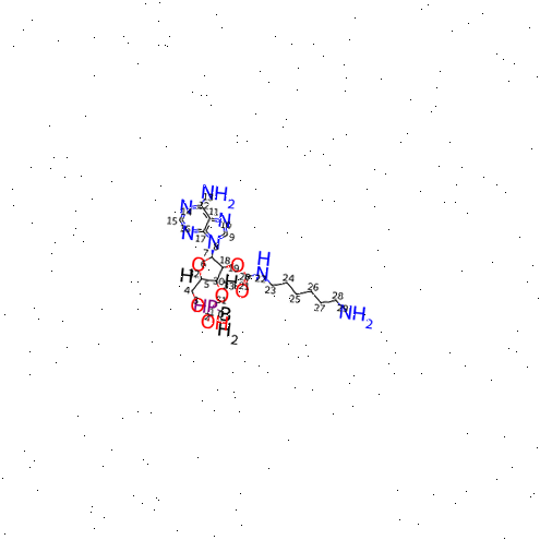 B[PH]1(O)OC[C@H]2O[C@@H](n3cnc4c(N)ncnc43)[C@@H](OC(=O)NCCCCCCN)[C@H]2O1